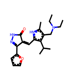 CCN(CC)Cc1c(C)[nH]c(C=C2C(=O)NN=C2c2ccco2)c1C(C)C